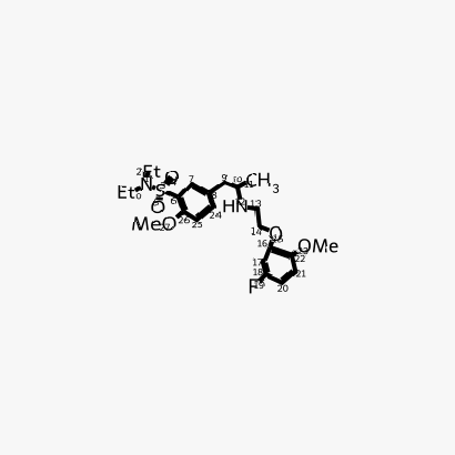 CCN(CC)S(=O)(=O)c1cc(CC(C)NCCOc2cc(F)ccc2OC)ccc1OC